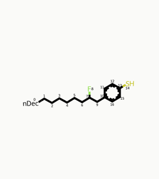 CCCCCCCCCCCCCCCCC(F)Cc1ccc(S)cc1